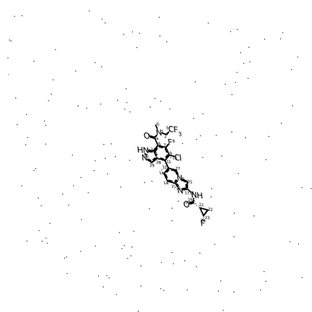 CN(CC(F)(F)F)C(=O)c1c(F)c(Cl)c(-c2ccc3nc(NC(=O)[C@@H]4C[C@@H]4F)cn3c2)c2cn[nH]c12